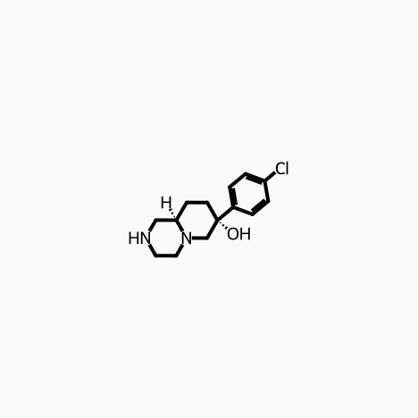 O[C@@]1(c2ccc(Cl)cc2)CC[C@@H]2CNCCN2C1